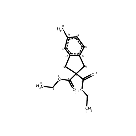 CCOC(=O)C1(C(=O)OCC)Cc2ccc(N)cc2C1